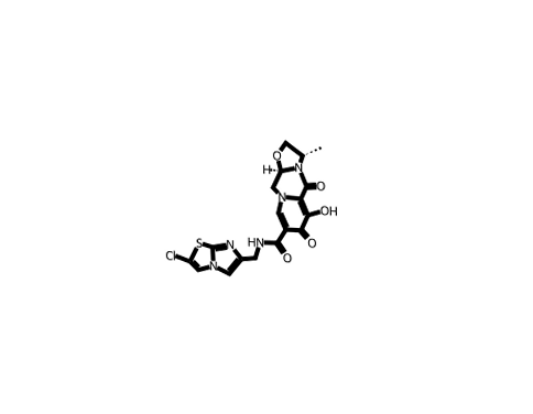 C[C@H]1CO[C@@H]2Cn3cc(C(=O)NCc4cn5cc(Cl)sc5n4)c(=O)c(O)c3C(=O)N12